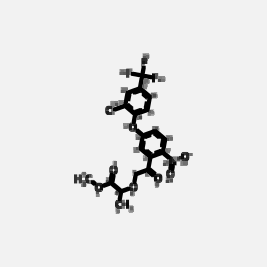 COC(=O)C(C)OCC(=O)c1cc(Oc2ccc(C(F)(F)F)cc2Cl)ccc1[N+](=O)[O-]